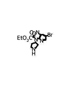 CCOC(=O)C(=O)N(c1ncc(Br)cc1[N+](=O)[O-])C1CCNCC1